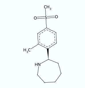 Cc1cc(S(C)(=O)=O)ccc1[C@H]1CCCCCN1